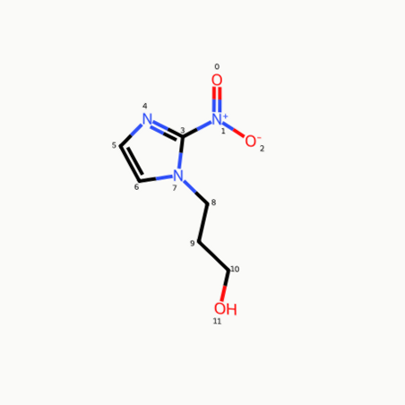 O=[N+]([O-])c1nccn1CCCO